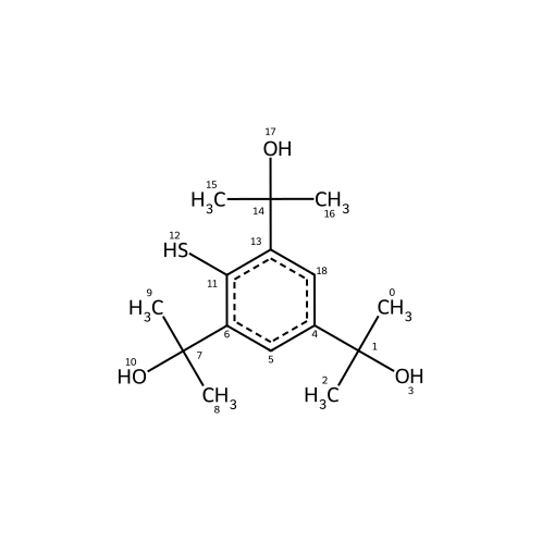 CC(C)(O)c1cc(C(C)(C)O)c(S)c(C(C)(C)O)c1